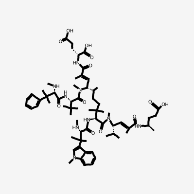 CN[C@H](C(=O)N[C@H](C(=O)N(C)[C@H](/C=C(\C)C(=O)N[C@H](CCC(=O)O)C(=O)O)C(C)CCC(C)(C)[C@H](NC(=O)[C@@H](NC)C(C)(C)c1cn(C)c2ccccc12)C(=O)N(C)[C@H](/C=C(\C)C(=O)N[C@H](C)CCC(=O)O)C(C)C)C(C)(C)C)C(C)(C)c1ccccc1